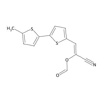 Cc1ccc(-c2ccc(C=C(C#N)OC=O)s2)s1